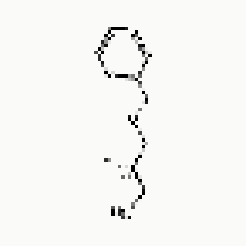 OC[C@H](F)COCc1ccccc1